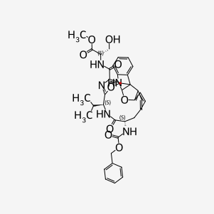 COC(=O)[C@H](CO)NC(=O)c1nc2oc1C13c4ccccc4NC1Oc1ccc(cc13)C[C@H](NC(=O)OCc1ccccc1)C(=O)N[C@H]2C(C)C